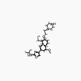 COc1cc(-c2coc(NC(C)C)n2)nc2c(CI)c(OCCN3CCNCC3)ccc12